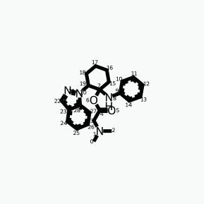 CN(C)CC(=O)OC1(Nc2ccccc2)CCCCC1n1ncc2ccccc21